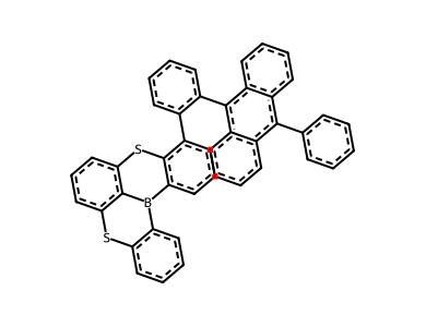 c1ccc(-c2c3ccccc3c(-c3ccccc3-c3cccc4c3Sc3cccc5c3B4c3ccccc3S5)c3ccccc23)cc1